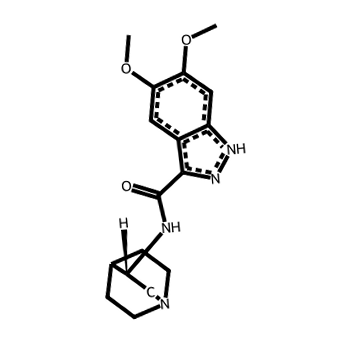 COc1cc2[nH]nc(C(=O)N[C@@H]3CN4CCC3CC4)c2cc1OC